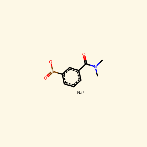 CN(C)C(=O)c1cccc(S(=O)[O-])c1.[Na+]